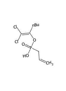 C=CCP(=O)(O)OC(CCCC)=C(Cl)Cl